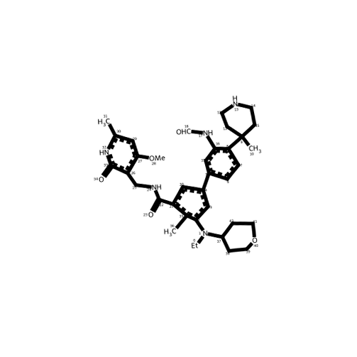 CCN(c1cc(-c2ccc(C3(C)CCNCC3)c(NC=O)c2)cc(C(=O)NCc2c(OC)cc(C)[nH]c2=O)c1C)C1CCOCC1